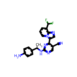 C[C@H](Nc1ncc(C#N)c(-c2cnc3c(C(F)F)cccn23)n1)c1ccc(N)cc1